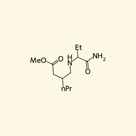 CCCC(CNC(CC)C(N)=O)CC(=O)OC